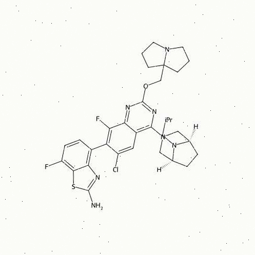 CC(C)CN1[C@@H]2CC[C@H]1CN(c1nc(OCC34CCCN3CCC4)nc3c(F)c(-c4ccc(F)c5sc(N)nc45)c(Cl)cc13)C2